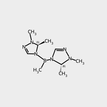 CB(N1C=NN(C)[C@H]1C)N1C=NN(C)[C@@H]1C